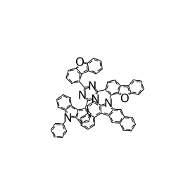 c1ccc(-n2c3ccccc3c3c(-c4nc(-c5ccc6c(oc7ccccc76)c5-n5c6cc7ccccc7cc6c6c7ccccc7ccc65)nc(-c5cccc6oc7ccccc7c56)n4)cccc32)cc1